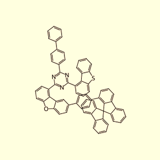 c1ccc(-c2ccc(-c3nc(-c4cccc5oc6ccc(-c7ccc(-c8cccc9c8C8(c%10ccccc%10-c%10ccccc%108)c8ccccc8-9)cc7)cc6c45)nc(-c4cccc5sc6ccccc6c45)n3)cc2)cc1